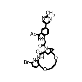 CC(=O)c1nn(CC(=O)N2C3CC34COCC=CCOCc3ccc(Br)nc3NC(=O)[C@@H]2C4)c2ccc(-c3cnc(C)nc3)cc12